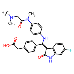 CN(C)CC(=O)N(C)c1ccc(NC(=C2C(=O)Nc3cc(F)ccc32)c2ccc(CC(=O)O)cc2)cc1